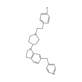 Fc1ccc(CCN2CCC(N3CCc4ccc(Cc5ccncc5)cc43)CC2)cc1